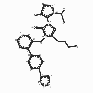 CCCCc1cn(-c2c(C)cnn2C(C)C)c(=O)n1Cc1cnccc1-c1ccc(-c2nnn[nH]2)cc1